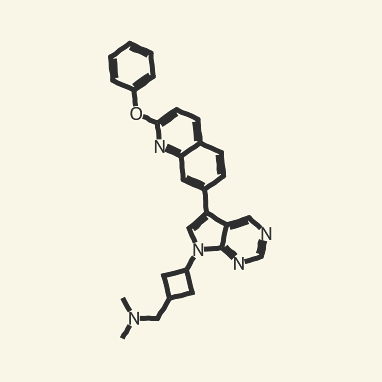 CN(C)CC1CC(n2cc(-c3ccc4ccc(Oc5ccccc5)nc4c3)c3cncnc32)C1